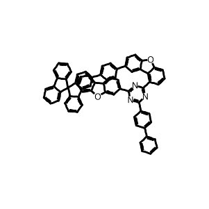 c1ccc(-c2ccc(-c3nc(-c4ccc5c(c4)oc4ccccc45)nc(-c4cccc5oc6ccc(-c7ccc(-c8ccc9c(c8)-c8ccccc8C98c9ccccc9-c9ccccc98)cc7)cc6c45)n3)cc2)cc1